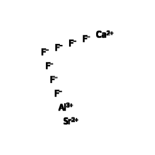 [Al+3].[Ca+2].[F-].[F-].[F-].[F-].[F-].[F-].[F-].[Sr+2]